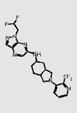 FC(F)Cn1ncc2ncc(NC3CCC4CN(c5cccnc5C(F)(F)F)CC4C3)nc21